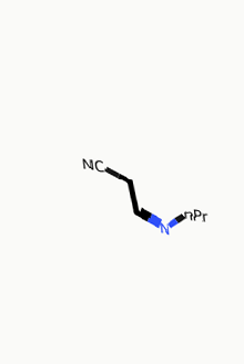 CCC/N=C\CC#N